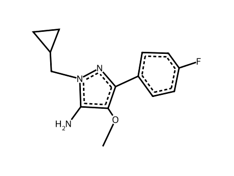 COc1c(-c2ccc(F)cc2)nn(CC2CC2)c1N